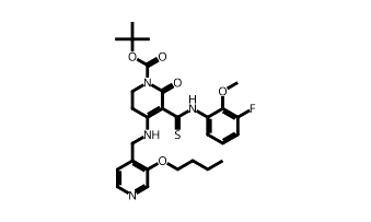 CCCCOc1cnccc1CNC1=C(C(=S)Nc2cccc(F)c2OC)C(=O)N(C(=O)OC(C)(C)C)CC1